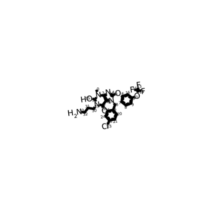 CN1c2nc(Oc3cccc(OC(F)(F)F)c3)n(Cc3ccc(Cl)cc3)c2C(=O)N(CCCN)C1O